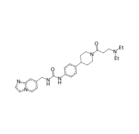 CCN(CC)CCC(=O)N1CCC(c2ccc(NC(=O)NCc3ccn4ccnc4c3)cc2)CC1